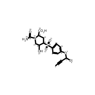 CC#CC(CC)Oc1ccc(S(=O)(=O)C2CC(C(=O)O)N(C(N)=O)CC2O)cc1